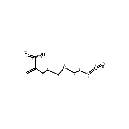 C=C(CCCOCCN=C=O)C(=O)O